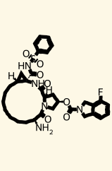 N[C@H]1CCCCCCC[C@@H]2C[C@@]2(C(=O)NS(=O)(=O)c2ccccc2)NC(=O)[C@@H]2C[C@@H](OC(=O)N3Cc4cccc(F)c4C3)CN2C1=O